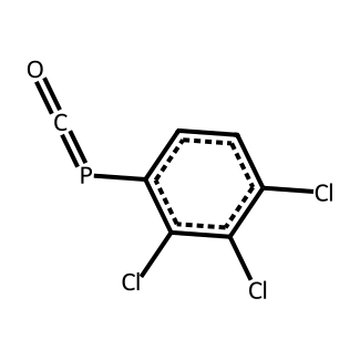 O=C=Pc1ccc(Cl)c(Cl)c1Cl